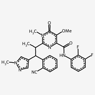 COc1c(C(=O)Nc2cccc(F)c2F)nc(C(C)C(c2cnn(C)c2)c2ccccc2C#N)n(C)c1=O